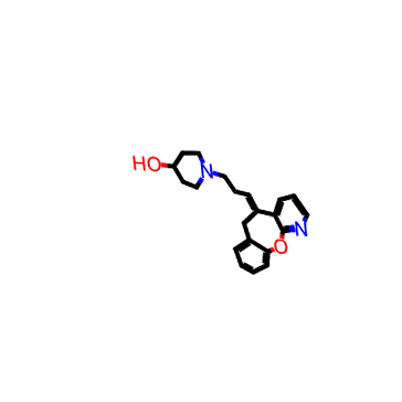 OC1CCN(CCC=C2Cc3ccccc3Oc3ncccc32)CC1